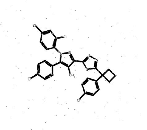 Cc1c(-c2nnc(C3(c4ccc(Cl)cc4)CCC3)s2)nn(-c2ccc(Cl)cc2Cl)c1-c1ccc(Cl)cc1